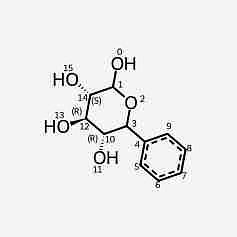 OC1OC(c2ccccc2)[C@H](O)[C@@H](O)[C@@H]1O